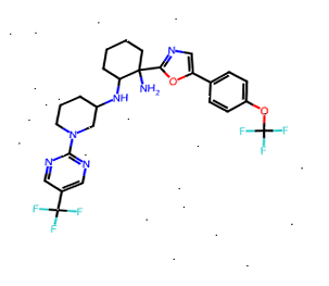 NC1(c2ncc(-c3ccc(OC(F)(F)F)cc3)o2)CCCCC1NC1CCCN(c2ncc(C(F)(F)F)cn2)C1